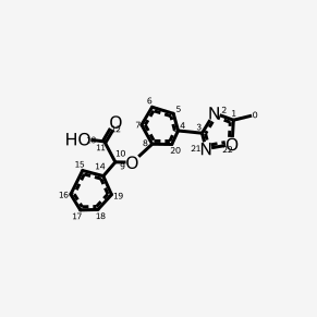 Cc1nc(-c2cccc(OC(C(=O)O)c3ccccc3)c2)no1